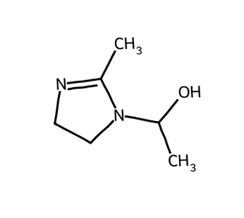 CC1=NCCN1C(C)O